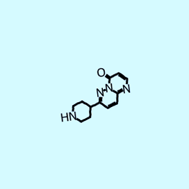 O=c1ccnc2ccc(C3CCNCC3)nn12